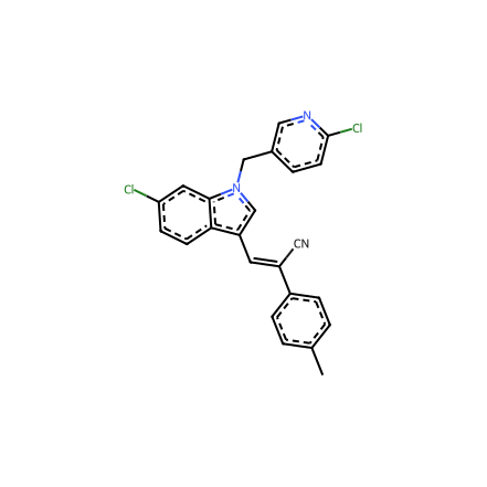 Cc1ccc(/C(C#N)=C/c2cn(Cc3ccc(Cl)nc3)c3cc(Cl)ccc23)cc1